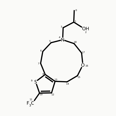 CC(O)CN1CCCc2sc(C(F)(F)F)cc2CCOCC1